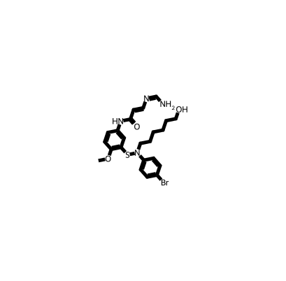 COc1ccc(NC(=O)/C=C/N=C\N)cc1SN(CCCCCCO)c1ccc(Br)cc1